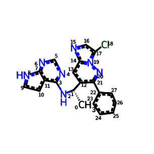 C[C@H](Nc1ncnc2[nH]ccc12)c1cc2ncc(Cl)n2nc1-c1ccccc1